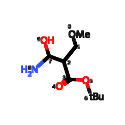 COCC(C(=O)OC(C)(C)C)C(N)O